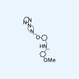 COc1cccc(C(C)NCc2cccc(OCCN3CCN(c4ncccn4)CC3)c2)c1